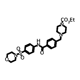 CCOC(=O)N1CCN(Cc2ccc(C(=O)Nc3ccc(S(=O)(=O)N4CCOCC4)cc3)cc2)CC1